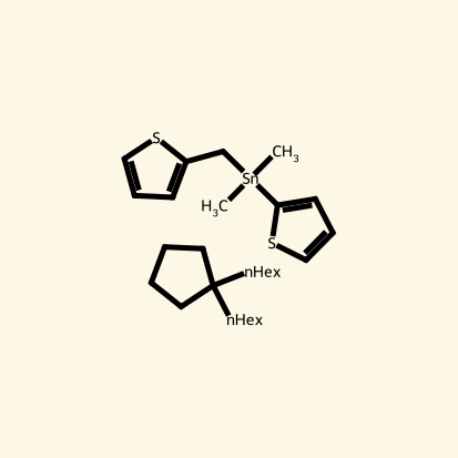 CCCCCCC1(CCCCCC)CCCC1.[CH3][Sn]([CH3])([CH2]c1cccs1)[c]1cccs1